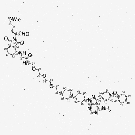 CNCCCC(C=O)N1C(=O)c2cccc(NCC(=O)NCOCCOCCOCCN3CCN(C4CCC(n5nc(-c6ccc(Oc7ccccc7)cc6)c6c(N)ncnc65)CC4)CC3)c2C1=O